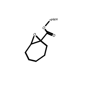 CCCCCCOC(=O)C12CCCCCC1O2